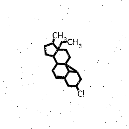 CCC12CCC34C(CC=C5CC(Cl)CC3C54)C1CCC2C